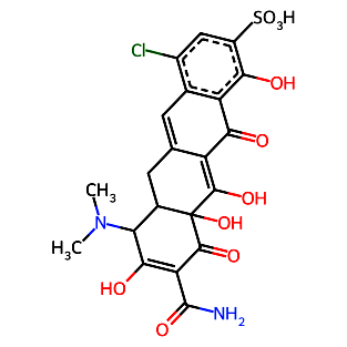 CN(C)C1C(O)=C(C(N)=O)C(=O)C2(O)C(O)=C3C(=O)c4c(O)c(S(=O)(=O)O)cc(Cl)c4C=C3CC12